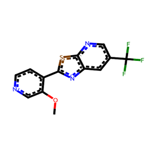 COc1cnccc1-c1nc2cc(C(F)(F)F)cnc2s1